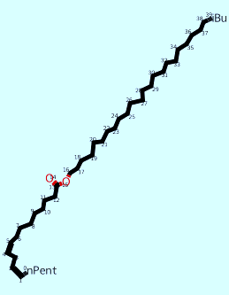 CCCCC/C=C\C/C=C\CCCCCCCC(=O)OCCCCCCCCCCCCCCCCCCCCCCCC(C)CC